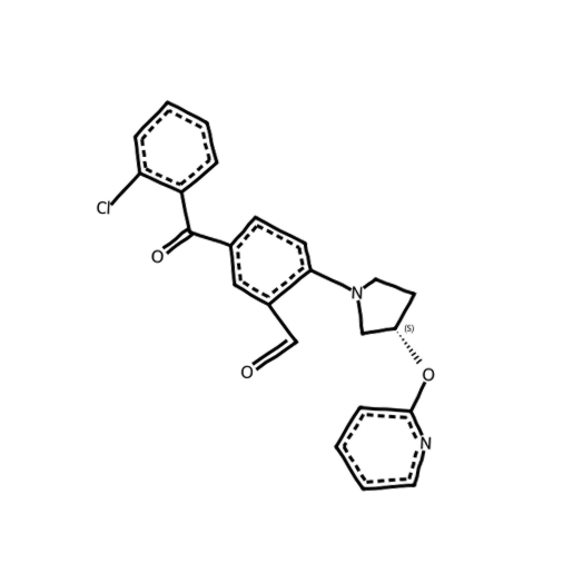 O=Cc1cc(C(=O)c2ccccc2Cl)ccc1N1CC[C@H](Oc2ccccn2)C1